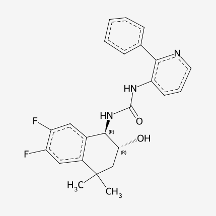 CC1(C)C[C@@H](O)[C@H](NC(=O)Nc2cccnc2-c2ccccc2)c2cc(F)c(F)cc21